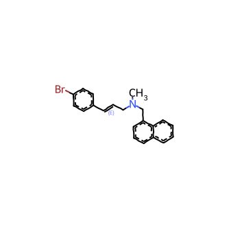 CN(C/C=C/c1ccc(Br)cc1)Cc1cccc2ccccc12